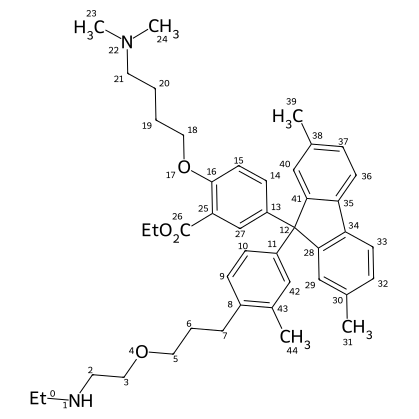 CCNCCOCCCc1ccc(C2(c3ccc(OCCCCN(C)C)c(C(=O)OCC)c3)c3cc(C)ccc3-c3ccc(C)cc32)cc1C